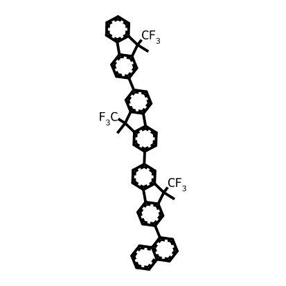 CC1(C(F)(F)F)c2ccccc2-c2ccc(-c3ccc4c(c3)C(C)(C(F)(F)F)c3cc(-c5ccc6c(c5)C(C)(C(F)(F)F)c5cc(-c7cccc8ccccc78)ccc5-6)ccc3-4)cc21